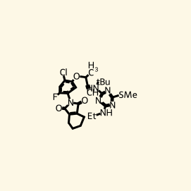 C#CC(C)Oc1cc(N2C(=O)C3=C(CCCC3)C2=O)c(F)cc1Cl.CCNc1nc(NC(C)(C)C)nc(SC)n1